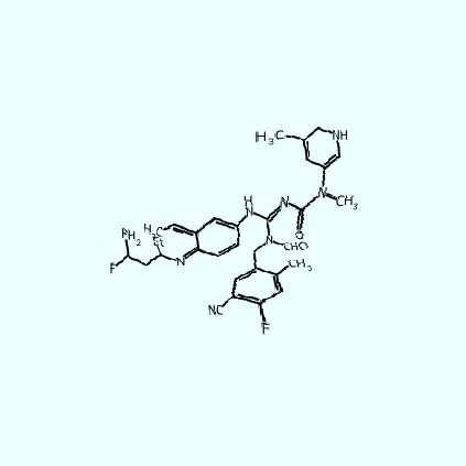 C/C=C1/C=C(N/C(=N/C(=O)N(C)C2=CNCC(C)=C2)N(C=O)Cc2cc(C#N)c(F)cc2C)C=C/C1=N/C(CC)CC(F)P